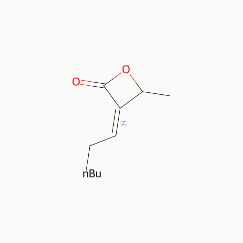 CCCCC/C=C1\C(=O)OC1C